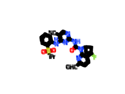 CC(C)S(=O)(=O)c1ccccc1Nc1nc(NC(=O)N2c3nc(C=O)ccc3C3(F)CC2C3)ncc1C#N